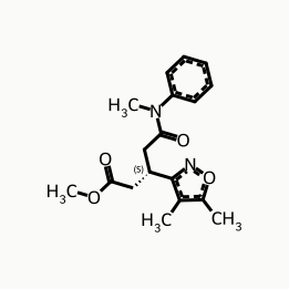 COC(=O)C[C@H](CC(=O)N(C)c1ccccc1)c1noc(C)c1C